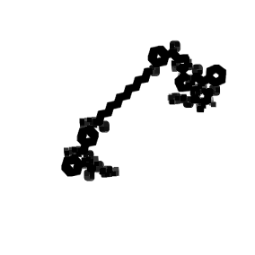 C[C@@H](C(=O)N[C@H](C(=O)N1CCC[C@H]1c1nc(C(=O)c2cccc(OCCCCCCCCCCCC(=O)Nc3ccc(C(=O)Nc4ccccc4NC(=O)OC(C)(C)C)cc3)c2)cs1)C1CCCCC1)N(C)C(=O)OC(C)(C)C